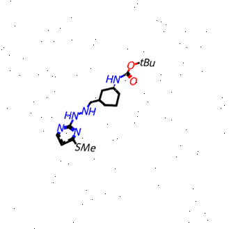 CSc1ccnc(NNCC2CCC[C@@H](NC(=O)OC(C)(C)C)C2)n1